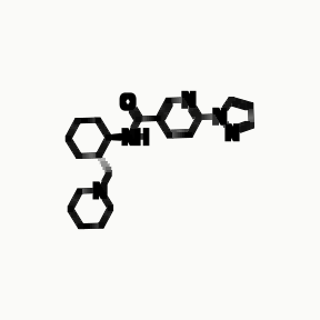 O=C(N[C@@H]1CCCC[C@H]1CN1CCCCC1)c1ccc(-n2cccn2)nc1